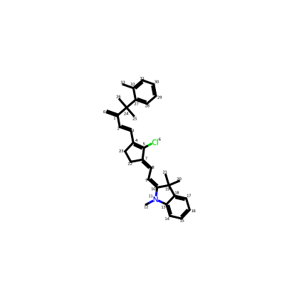 C=C(/C=C/C1=C(Cl)C(=C/C=C2/N(C)c3ccccc3C2(C)C)/CC1)C(C)(C)c1ccccc1C